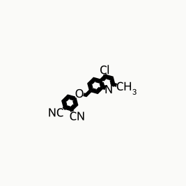 Cc1cc(Cl)c2ccc(COc3ccc(C#N)c(C#N)c3)cc2n1